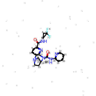 O=C(N[C@@H]1CC1(F)F)c1ccc2c(n1)N(C(=O)Nc1ccccn1)[C@H]1CCN2C1